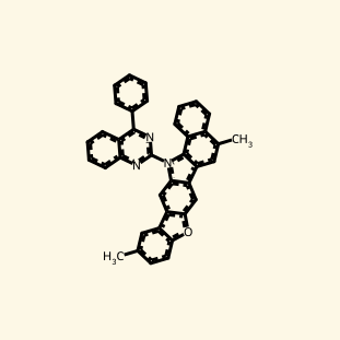 Cc1ccc2oc3cc4c5cc(C)c6ccccc6c5n(-c5nc(-c6ccccc6)c6ccccc6n5)c4cc3c2c1